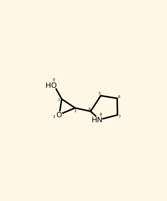 OC1OC1C1CCCN1